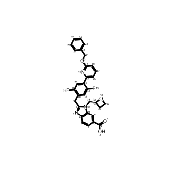 O=C(O)c1ccc2nc(Cc3cc(F)c(-c4cccc(OCc5ccccc5)n4)cc3F)n(C[C@@H]3CCO3)c2c1